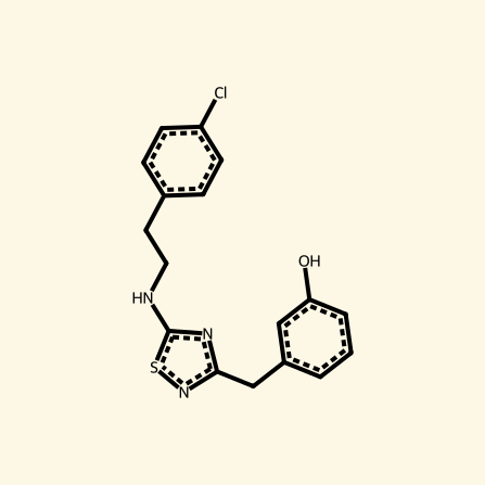 Oc1cccc(Cc2nsc(NCCc3ccc(Cl)cc3)n2)c1